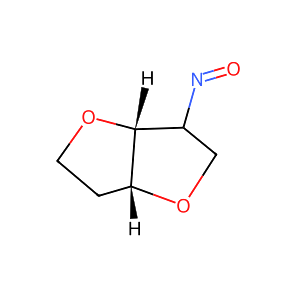 O=NC1CO[C@@H]2CCO[C@H]12